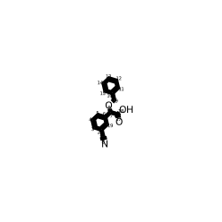 N#Cc1cccc(C(OCc2ccccc2)C(=O)O)c1